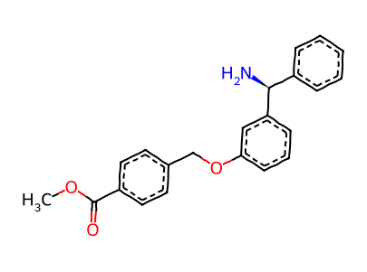 COC(=O)c1ccc(COc2cccc([C@@H](N)c3ccccc3)c2)cc1